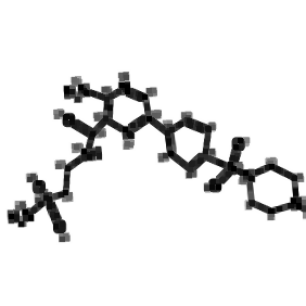 CN1CCN(S(=O)(=O)c2ccc(-c3cnc(N)c(C(=O)NCCS(N)(=O)=O)n3)cc2)CC1